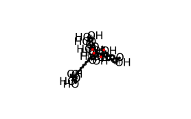 CC1O[C@@H](OC2C(O)[C@@H](NC(=O)CCCCCCCCCCO[C@@H]3O[C@@H](CO)C(O)C3CO)C(CO)O[C@H]2OC(=O)[C@@]2(CCC(C)(C)C)C(O)CC3(C)C(=CCC4C5(C)CC[C@H](O)C(C)(C=O)C5CCC43C)C2I)C(O)C(O)[C@H]1O[C@@H]1OC[C@@H](O)C(O)C1O